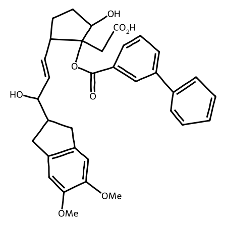 COc1cc2c(cc1OC)CC(C(O)C=CC1CCC(O)C1(CC(=O)O)OC(=O)c1cccc(-c3ccccc3)c1)C2